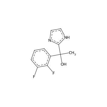 CC(O)(c1ncc[nH]1)c1cccc(F)c1F